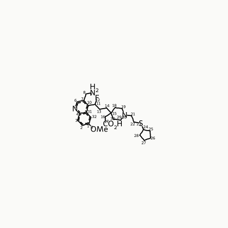 COc1ccc2ncc(CN)c(C(F)CCC3(CC(=O)O)CCN(CCSC4CCCC4)CC3)c2c1